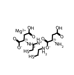 NCCS.NCCS.N[C@@H](CC(=O)O)C(=O)[O-].N[C@@H](CC(=O)O)C(=O)[O-].[Mg+2]